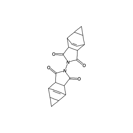 O=C1C2C3C=CC(C4CC34)C2C(=O)N1N1C(=O)C2C3C=CC(C4CC34)C2C1=O